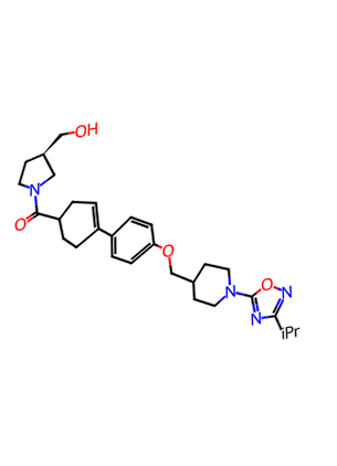 CC(C)c1noc(N2CCC(COc3ccc(C4=CCC(C(=O)N5CC[C@@H](CO)C5)CC4)cc3)CC2)n1